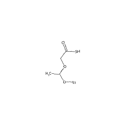 CCOC(C)OCC(=O)S